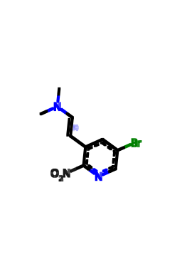 CN(C)/C=C/c1cc(Br)cnc1[N+](=O)[O-]